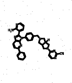 N#Cc1nccc(N2CC3CN(Cc4ccc(-n5c(-c6cccnc6N)nc6ccc(-c7ccccc7)nc65)cc4)C[C@@H]3C2)n1